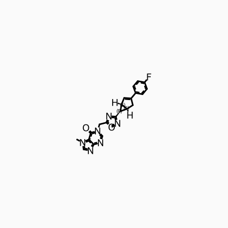 Cn1cnc2ncn(Cc3nc([C@H]4[C@@H]5C=C(c6ccc(F)cc6)C[C@@H]54)no3)c(=O)c21